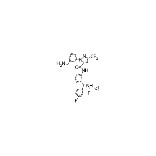 NCc1cccc(-n2nc(C(F)(F)F)cc2C(=O)Nc2cccc(C(NCC3CC3)c3ccc(F)cc3F)c2)c1